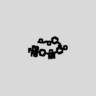 COCCOc1cccc(Cn2cc(-c3nnc(-c4ccc(S(=O)(=O)C(F)(F)F)cc4)o3)ccc2=O)c1